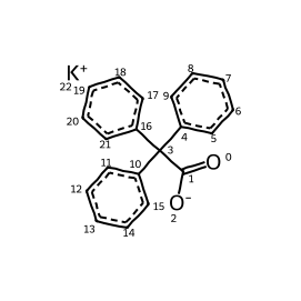 O=C([O-])C(c1ccccc1)(c1ccccc1)c1ccccc1.[K+]